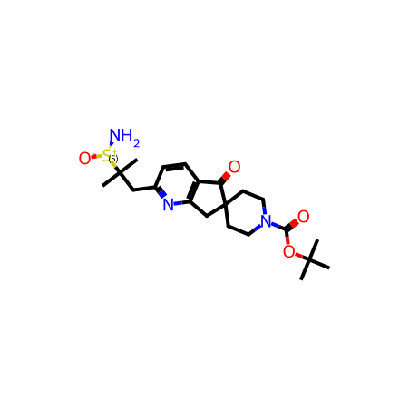 CC(C)(C)OC(=O)N1CCC2(CC1)Cc1nc(CC(C)(C)[S@+](N)[O-])ccc1C2=O